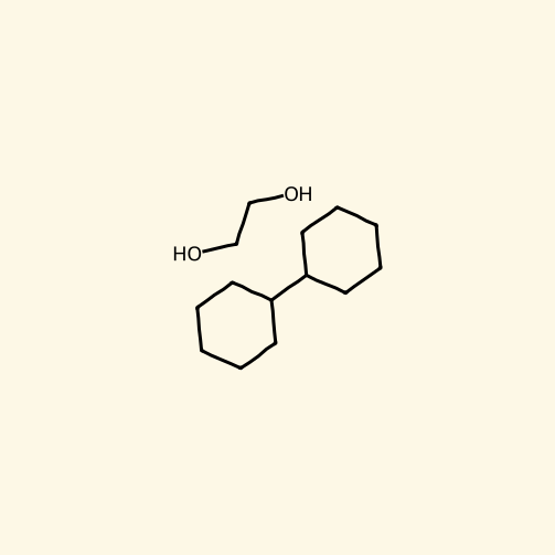 C1CCC(C2CCCCC2)CC1.OCCO